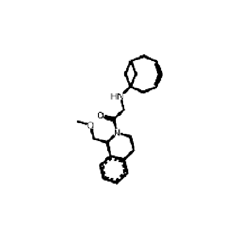 COCC1c2ccccc2CCN1C(=O)CNC12CC=C=CCC(C1)C2